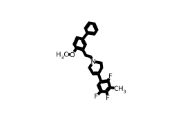 COc1ccc(-c2ccccc2)cc1CCN1CC=C(c2cc(F)c(F)c(C)c2F)CC1